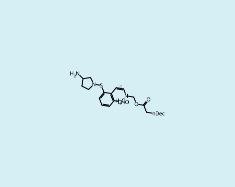 CCCCCCCCCCCC(=O)OCN(C)/C=C\c1c(C=O)cccc1SN1CCC(N)C1